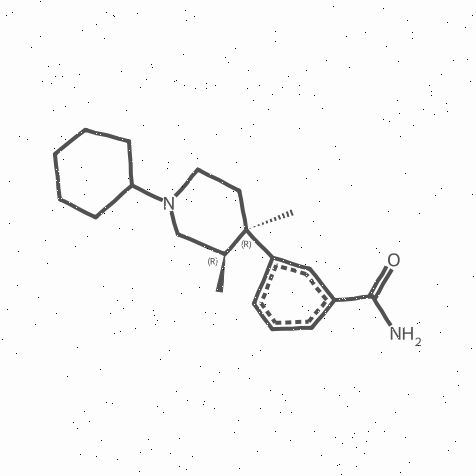 C[C@H]1CN(C2CCCCC2)CC[C@@]1(C)c1cccc(C(N)=O)c1